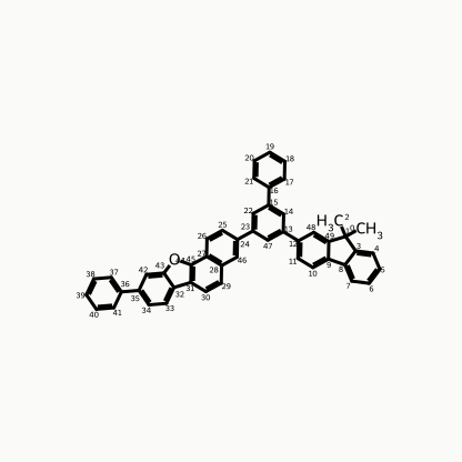 CC1(C)c2ccccc2-c2ccc(-c3cc(-c4ccccc4)cc(-c4ccc5c(ccc6c7ccc(-c8ccccc8)cc7oc56)c4)c3)cc21